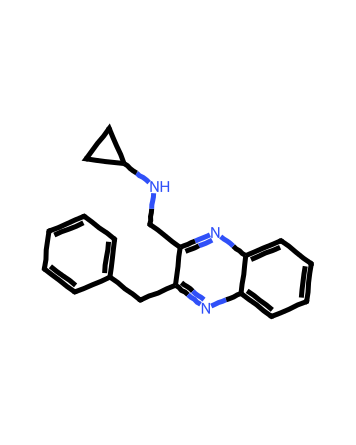 c1ccc(Cc2nc3ccccc3nc2CNC2CC2)cc1